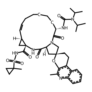 Cc1nc2ccccc2c2c1O[C@]1(CC2)C[C@H]2C(=O)N[C@]3(C(=O)NS(=O)(=O)C4(C)CC4)C[C@H]3/C=C\CCCCC[C@H](NC(=O)N(C(C)C)C(C)C)C(=O)N2C1